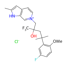 COc1ccc(F)cc1C(C)(C)CC(O)(C[n+]1ccc2cc(C)[nH]c2c1)C(F)(F)F.[Cl-]